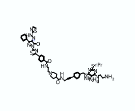 CCCSc1nc(NCCN)c(N)c(N(N)Cc2ccc(C#CCNC(=O)C3CCN(CCNC(=O)c4ccc(-c5csc(N6N=C(c7ccccc7)/C(=N\Nc7nccs7)C6=O)n5)cc4)CC3)cc2)n1